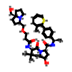 CC1=C(c2ccc([C@H](C)NC(=O)[C@@H]3C[C@@H](O)CN3C(=O)[C@@H](NC(=O)CCOC[C@H]3CC[C@@]4(CO)CCCN34)C(C)(C)C)cc2)SC=C=CC1